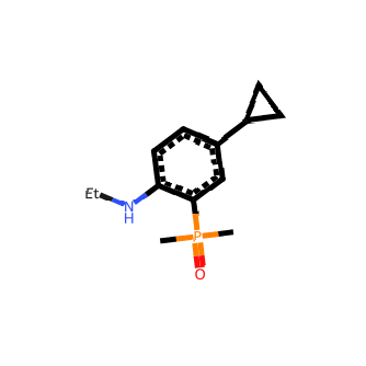 CCNc1ccc(C2CC2)cc1P(C)(C)=O